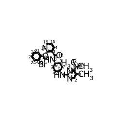 Cc1cnc(NC2CCC(NC(=O)c3cccnc3Oc3ccccc3Br)CC2)nc1N(C)C